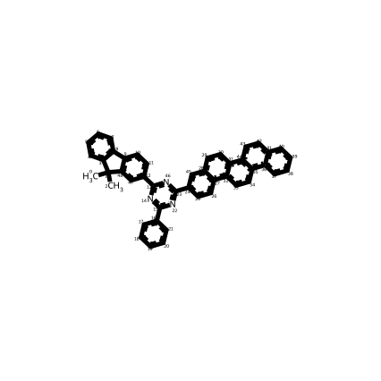 CC1(C)c2ccccc2-c2ccc(-c3nc(-c4ccccc4)nc(-c4ccc5c(ccc6c5ccc5c7ccccc7ccc56)c4)n3)cc21